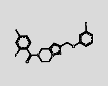 Cc1ccc(C(=O)N2CCn3nc(COc4cccc(F)c4)cc3C2)c(F)c1